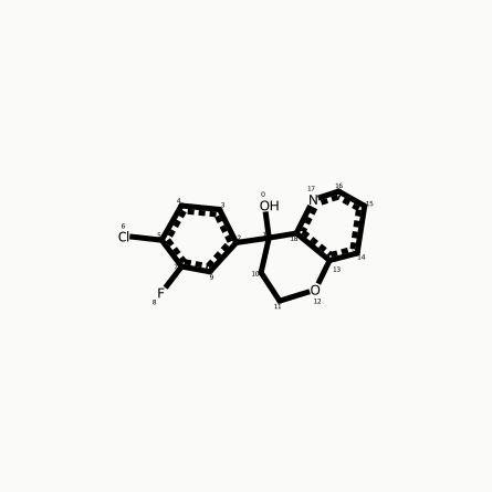 OC1(c2ccc(Cl)c(F)c2)CCOc2cccnc21